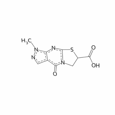 Cn1ncc2c(=O)n3c(nc21)SC(C(=O)O)C3